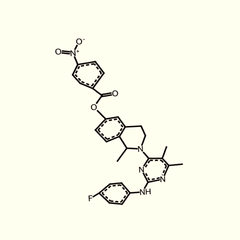 Cc1nc(Nc2ccc(F)cc2)nc(N2CCc3cc(OC(=O)c4ccc([N+](=O)[O-])cc4)ccc3C2C)c1C